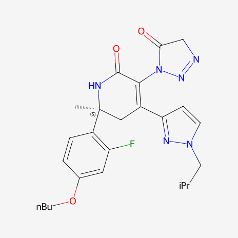 CCCCOc1ccc([C@]2(C)CC(c3ccn(CC(C)C)n3)=C(N3N=NCC3=O)C(=O)N2)c(F)c1